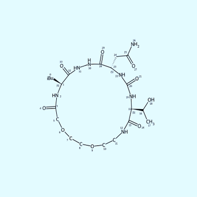 CCC(C)[C@@H]1NC(=O)COCCOCCNC(=O)[C@H](C(C)O)NC(=O)N[C@@H](CC(N)=O)C(=O)NNC1=O